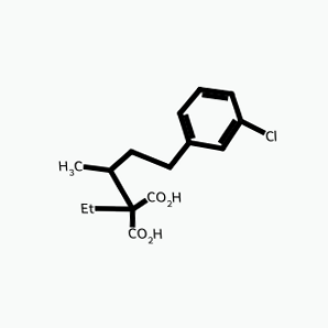 CCC(C(=O)O)(C(=O)O)C(C)CCc1cccc(Cl)c1